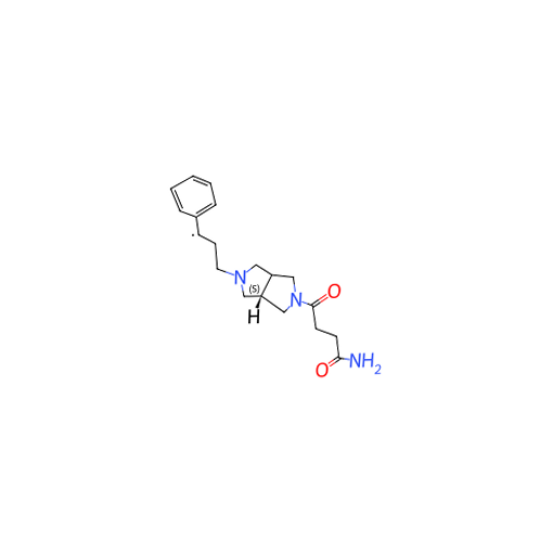 NC(=O)CCC(=O)N1CC2CN(CC[CH]c3ccccc3)C[C@H]2C1